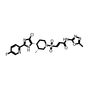 Cc1nnc(NC(=O)C=CS(=O)(=O)N2CC[C@@H](c3[nH]c(-c4ccc(F)cn4)nc3Cl)[C@@H](C)C2)o1